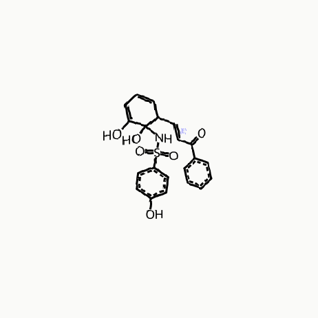 O=C(/C=C/C1C=CC=C(O)C1(O)NS(=O)(=O)c1ccc(O)cc1)c1ccccc1